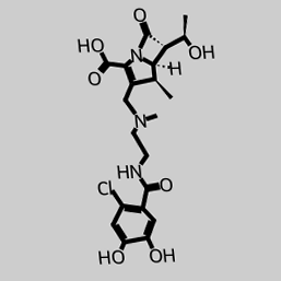 C[C@@H](O)[C@H]1C(=O)N2C(C(=O)O)=C(CN(C)CCNC(=O)c3cc(O)c(O)cc3Cl)[C@H](C)[C@H]12